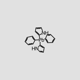 c1cc[c]([Pb]([c]2ccccc2)([c]2ccc[nH]2)[c]2ccc[nH]2)cc1